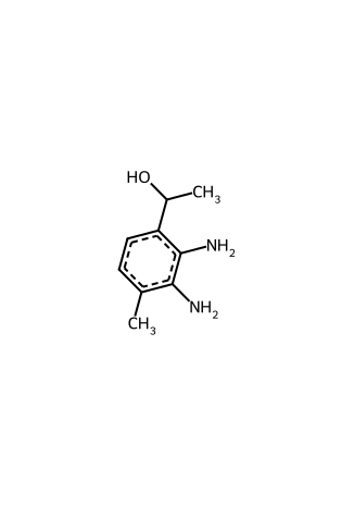 Cc1ccc(C(C)O)c(N)c1N